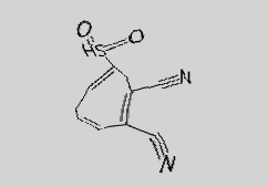 N#Cc1cccc([SH](=O)=O)c1C#N